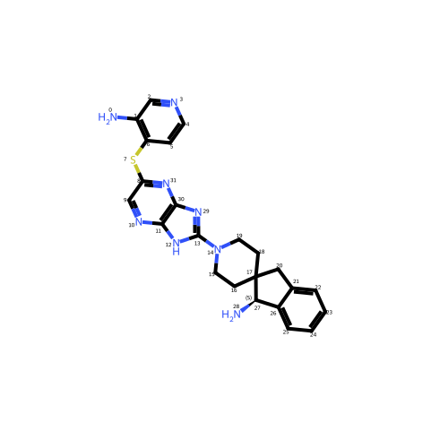 Nc1cnccc1Sc1cnc2[nH]c(N3CCC4(CC3)Cc3ccccc3[C@H]4N)nc2n1